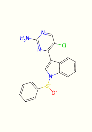 Nc1ncc(Cl)c(-c2cn([S+]([O-])c3ccccc3)c3ccccc23)n1